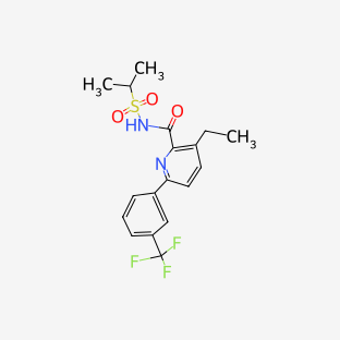 CCc1ccc(-c2cccc(C(F)(F)F)c2)nc1C(=O)NS(=O)(=O)C(C)C